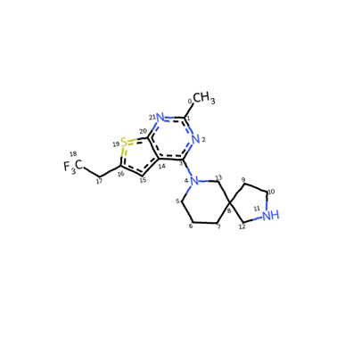 Cc1nc(N2CCCC3(CCNC3)C2)c2cc(CC(F)(F)F)sc2n1